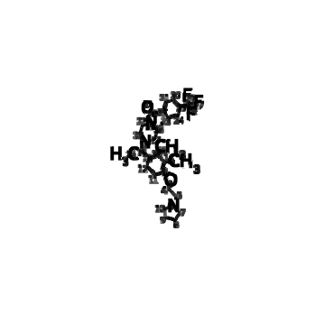 Cc1c(OCCN2CC=CC2)ccc(C(C)N2CCN(C(=O)c3ccc(C(F)(F)F)cc3)CC2)c1C